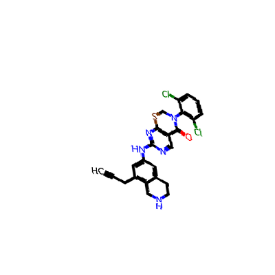 C#CCc1cc(Nc2ncc3c(n2)SCN(c2c(Cl)cccc2Cl)C3=O)cc2c1CNCC2